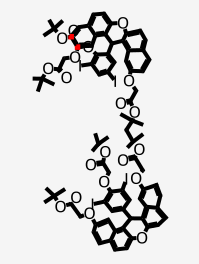 CC(C)(C)OC(=O)COc1ccc2ccc3c(c2c1)C(c1cc(I)c(OCC(=O)OC(C)(C)C)c(I)c1)c1c(ccc2ccc(OCC(=O)OC(C)(C)CC(C)(C)OC(=O)COc4ccc5ccc6c(c5c4)C(c4cc(I)cc(I)c4OCC(=O)OC(C)(C)C)c4c(ccc5ccc(OCC(=O)OC(C)(C)C)cc45)O6)cc12)O3